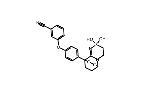 N#Cc1cccc(Oc2ccc(C34CCC(CC3)N3CCS(O)(O)N=C34)cc2)c1